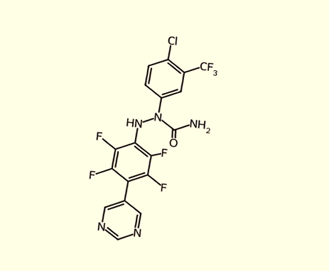 NC(=O)N(Nc1c(F)c(F)c(-c2cncnc2)c(F)c1F)c1ccc(Cl)c(C(F)(F)F)c1